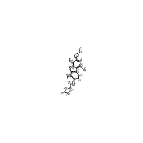 CCOc1cc(C)c2c(sc3c(F)c(OCC4CC=CC4)ccc32)c1F